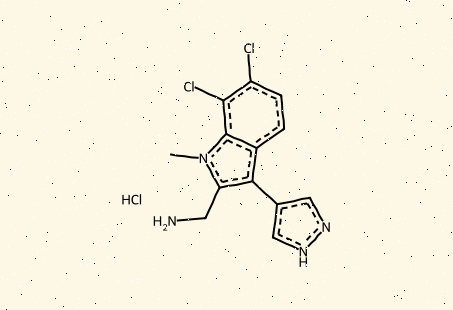 Cl.Cn1c(CN)c(-c2cn[nH]c2)c2ccc(Cl)c(Cl)c21